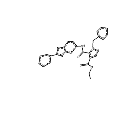 CCOC(=O)c1cnn(Cc2ccccc2)c1C(=O)Nc1ccn2nc(-c3ccccc3)nc2c1